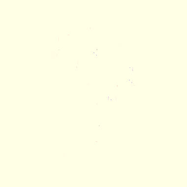 Cc1ccc(C(=O)Nc2n[nH]c3c2CN(C(=O)C(C)(C)C)C32CC2)cc1